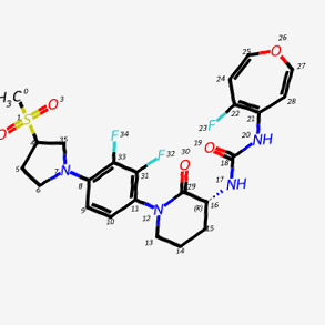 CS(=O)(=O)C1CCN(c2ccc(N3CCC[C@@H](NC(=O)NC4=C(F)C=COC=C4)C3=O)c(F)c2F)C1